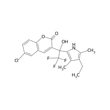 CCc1c(C)[nH]c(C(O)(c2cc3cc(Cl)ccc3oc2=O)C(F)(F)F)c1C